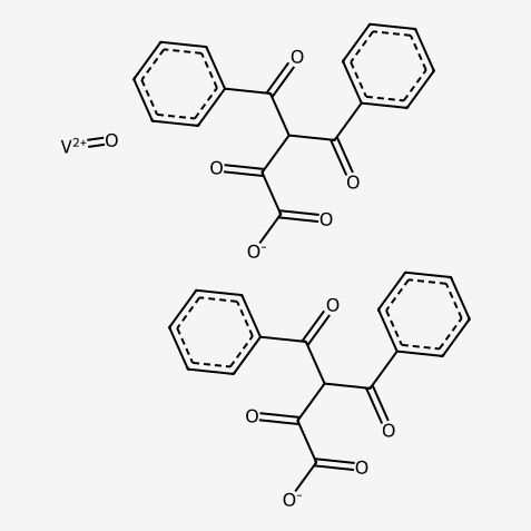 O=C([O-])C(=O)C(C(=O)c1ccccc1)C(=O)c1ccccc1.O=C([O-])C(=O)C(C(=O)c1ccccc1)C(=O)c1ccccc1.[O]=[V+2]